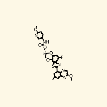 COc1ccc(NC(=O)OC[C@H]2COc3c(cc(F)c4nc(-c5cc(C)cc6nc(OC)cnc56)sc34)O2)cn1